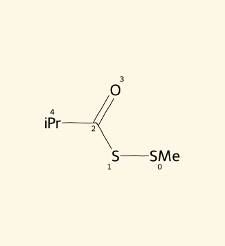 CSSC(=O)C(C)C